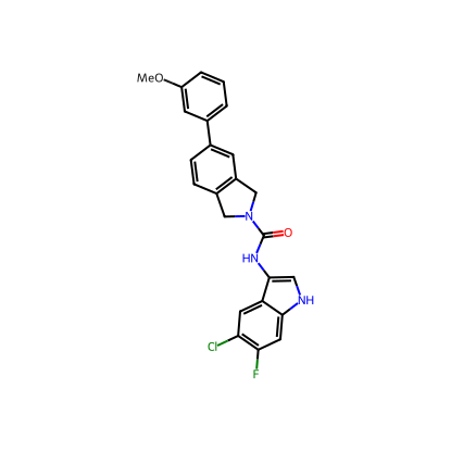 COc1cccc(-c2ccc3c(c2)CN(C(=O)Nc2c[nH]c4cc(F)c(Cl)cc24)C3)c1